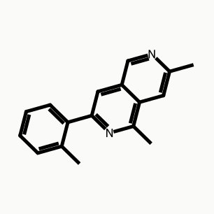 Cc1cc2c(C)nc(-c3ccccc3C)cc2cn1